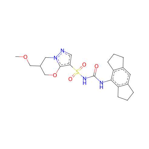 COCC1COc2c(S(=O)(=O)NC(=O)Nc3c4c(cc5c3CCC5)CCC4)cnn2C1